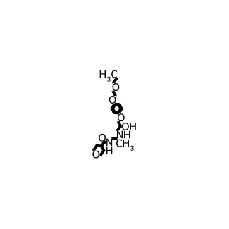 CCCOCCOc1ccc(OCC(O)CNC(C)CNC(=O)C2CCOCC2)cc1